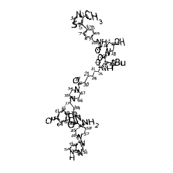 Cc1ncsc1-c1ccc(CNC(=O)[C@@H]2C[C@@H](O)CN2C(=O)C(NC(=O)CCCCCC(=O)N2CCN(CCC(NC(=O)C3(N)CCN(c4ncnc5[nH]ccc45)CC3)c3ccc(Cl)cc3)CC2)C(C)(C)C)cc1